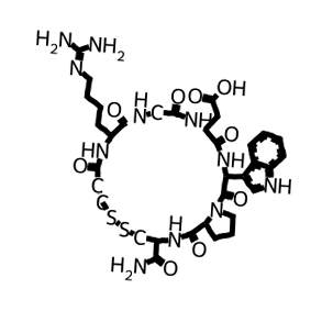 NC(=O)C1CSSCCC(=O)NC(CCCCN=C(N)N)C(=O)NCC(=O)NC(CC(=O)O)C(=O)NC(c2c[nH]c3ccccc23)C(=O)N2CCCC2C(=O)N1